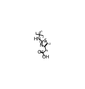 CC(C)(C)Nc1nc(CC(=O)O)cs1